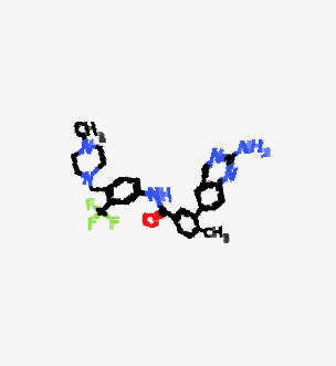 Cc1ccc(C(=O)Nc2ccc(CN3CCN(C)CC3)c(C(F)(F)F)c2)cc1-c1ccc2nc(N)ncc2c1